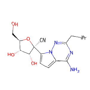 CC(C)Cc1nc(N)c2ccc([C@]3(C#N)O[C@H](CO)[C@@H](O)[C@H]3O)n2n1